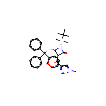 Cn1cc(C(O)C2C(=O)N([Si](C)(C)C(C)(C)C)C2SC(c2ccccc2)(c2ccccc2)c2ccccc2)nn1